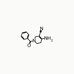 N#CC1=C(N)CCN(C(=O)c2ccccc2)C1